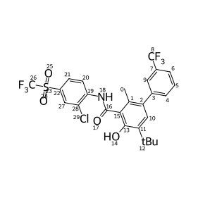 Cc1c(-c2cccc(C(F)(F)F)c2)cc(C(C)(C)C)c(O)c1C(=O)Nc1ccc(S(=O)(=O)C(F)(F)F)cc1Cl